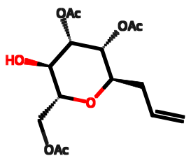 C=CC[C@H]1O[C@H](COC(C)=O)[C@@H](O)[C@H](OC(C)=O)[C@@H]1OC(C)=O